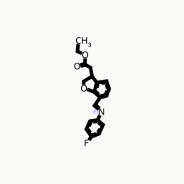 CCOC(=O)CC1COc2c(/C=N/c3ccc(F)cc3)cccc21